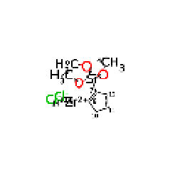 CO[Si](OC)(OC)C1=[C]([Zr+2])CC=C1.[Cl-].[Cl-]